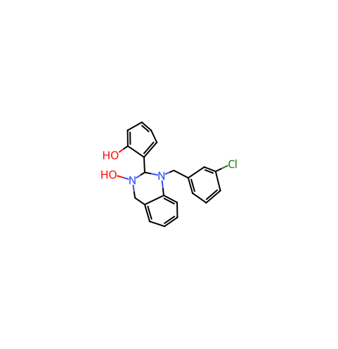 Oc1ccccc1C1N(O)Cc2ccccc2N1Cc1cccc(Cl)c1